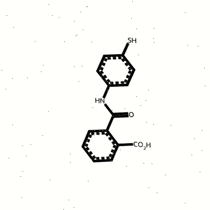 O=C(O)c1ccccc1C(=O)Nc1ccc(S)cc1